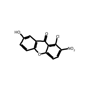 O=c1c2cc(O)ccc2oc2ccc([N+](=O)[O-])c(Cl)c12